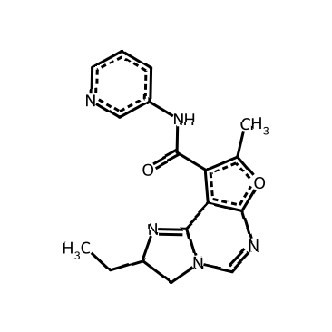 CCC1CN2C=Nc3oc(C)c(C(=O)Nc4cccnc4)c3C2=N1